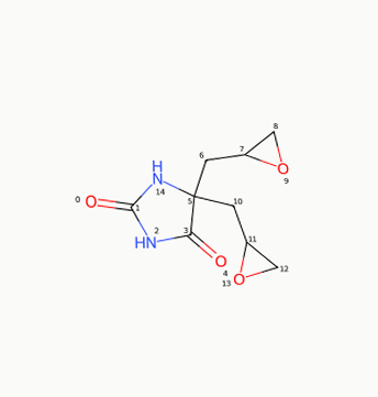 O=C1NC(=O)C(CC2CO2)(CC2CO2)N1